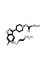 CCCCCC(=O)ON1CCC(c2noc3cc(F)ccc23)CC1.O=C(O)C=CC(=O)O